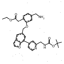 CCOC(=O)Cc1ccc(CN)cc1OCc1cc(-c2ccnc(CNC(=O)OC(C)(C)C)c2)c2occc2c1